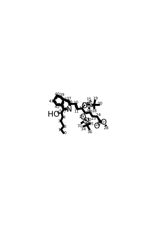 CCCCC[C@@H](O)c1nc(/C=C/[C@@H](O[Si](C)(C)C(C)(C)C)C(CCCC(=O)OC)O[Si](C)(C)C(C)(C)C)cc2ccccc12